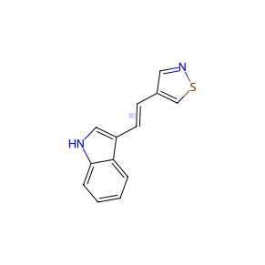 C(=C\c1c[nH]c2ccccc12)/c1cnsc1